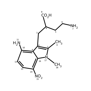 Cc1c(CC(CCN)C(=O)O)c2c(N)ccc([N+](=O)[O-])c2n1C